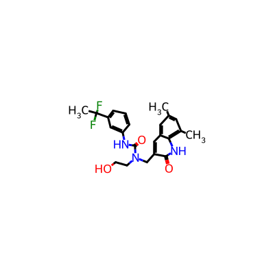 Cc1cc(C)c2[nH]c(=O)c(CN(CCO)C(=O)Nc3cccc(C(C)(F)F)c3)cc2c1